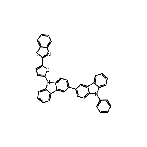 c1ccc(-n2c3ccccc3c3cc(-c4ccc5c(c4)c4ccccc4n5-c4ccc(-c5nc6ccccc6s5)o4)ccc32)cc1